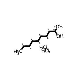 CCCCCCCCC(O)O.Cl.Cl